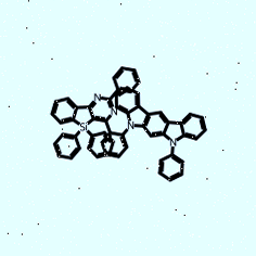 c1ccc(-c2nc(-c3ccccc3-n3c4ccccc4c4cc5c6ccccc6n(-c6ccccc6)c5cc43)c3c(n2)-c2ccccc2[Si]3(c2ccccc2)c2ccccc2)cc1